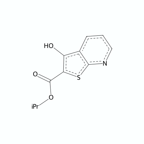 CC(C)OC(=O)c1sc2ncccc2c1O